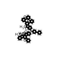 CC1(C)c2cc(N(c3ccc(-c4ccccc4)cc3)c3ccc4c(c3)C(C)(C)c3c5c(c6oc7ccccc7c6c3-4)-c3ccccc3C5(C)C)ccc2-c2c1cc(-c1cccc3oc4ccccc4c13)c1oc3ccccc3c21